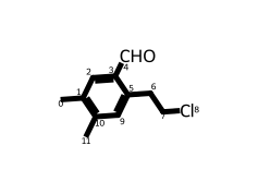 Cc1cc(C=O)c(CCCl)cc1C